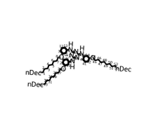 CCCCCCCCCCCCCCCCCCOc1cccc(Nc2nc(Nc3cccc(OCCCCCCCCCCCCCCCCCC)c3)nc(Nc3cccc(OCCCCCCCCCCCCCCCCCC)c3)n2)c1